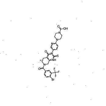 C[C@@H]1Cc2c([nH]c(=S)n(-c3ccc(N4CCN(C(=O)O)CC4)nc3)c2=O)CN1C(=O)c1ccc(Br)c(C(F)(F)F)c1